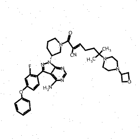 CC(C)(CC/C=C(\C#N)C(=O)N1CCC[C@@H](n2nc(-c3ccc(Oc4ccccc4)cc3F)c3c(N)ncnc32)C1)N1CCN(C2COC2)CC1